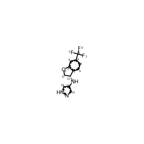 FC(F)(F)c1ccc2c(c1)OC[C@H]2Nc1cn[nH]c1